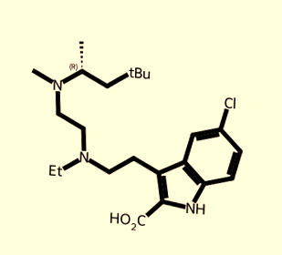 CCN(CCc1c(C(=O)O)[nH]c2ccc(Cl)cc12)CCN(C)[C@H](C)CC(C)(C)C